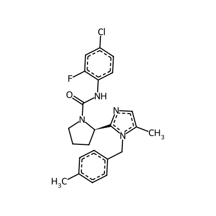 Cc1ccc(Cn2c(C)cnc2[C@H]2CCCN2C(=O)Nc2ccc(Cl)cc2F)cc1